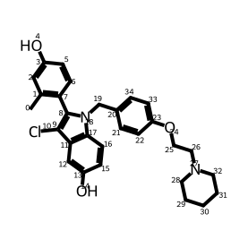 Cc1cc(O)ccc1-c1c(Cl)c2cc(O)ccc2n1Cc1ccc(OCCN2CCCCC2)cc1